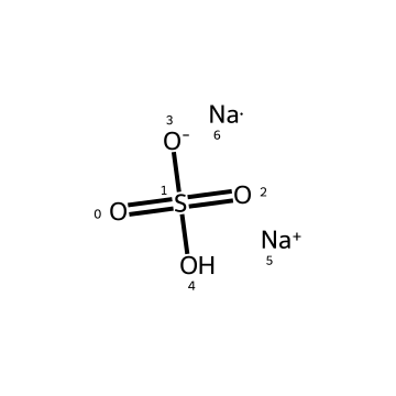 O=S(=O)([O-])O.[Na+].[Na]